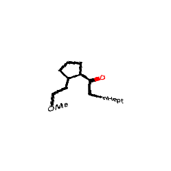 CCCCCCCCC(=O)C1CCCC1CCOC